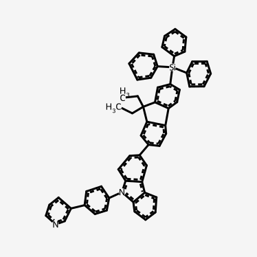 CCC1(CC)c2cc(-c3ccc4c(c3)c3ccccc3n4-c3ccc(-c4cccnc4)cc3)ccc2-c2ccc([Si](c3ccccc3)(c3ccccc3)c3ccccc3)cc21